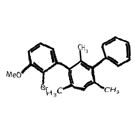 COc1cccc(-c2c(C)cc(C)c(-c3ccccc3)c2C)c1Br